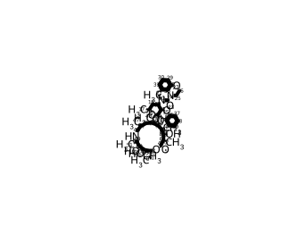 CC[C@H]1OC(=O)[C@H](C)[C@@H](O)[C@H](C)[C@@H](O[C@@H]2O[C@H](C)C[C@H](N(C)C(=O)N3CCOc4ccccc43)[C@H]2Oc2ccccc2)[C@](C)(O)C[C@@H](C)CN[C@H](C)[C@@H](O)[C@]1(C)O